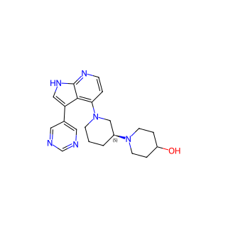 OC1CCN([C@H]2CCCN(c3ccnc4[nH]cc(-c5cncnc5)c34)C2)CC1